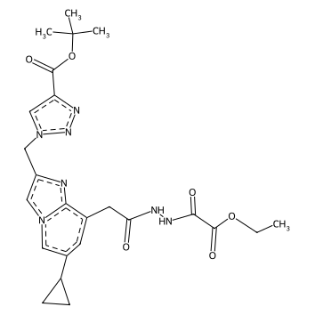 CCOC(=O)C(=O)NNC(=O)Cc1cc(C2CC2)cn2cc(Cn3cc(C(=O)OC(C)(C)C)nn3)nc12